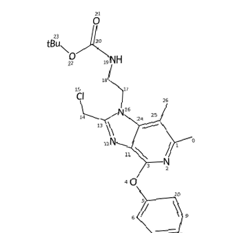 Cc1nc(Oc2ccccc2)c2nc(CCl)n(CCNC(=O)OC(C)(C)C)c2c1C